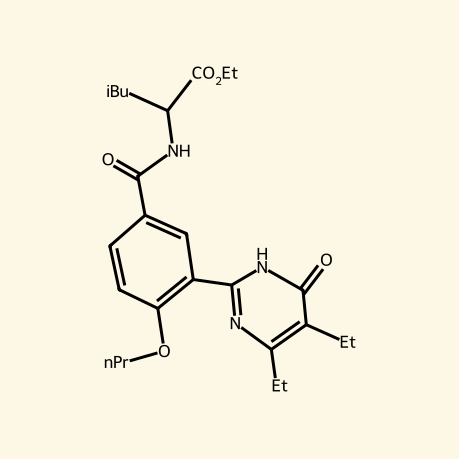 CCCOc1ccc(C(=O)NC(C(=O)OCC)C(C)CC)cc1-c1nc(CC)c(CC)c(=O)[nH]1